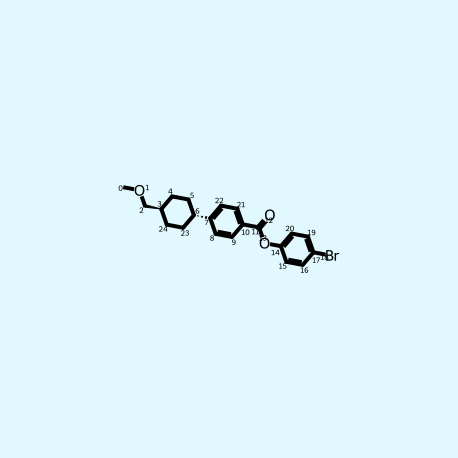 COC[C@H]1CC[C@H](c2ccc(C(=O)Oc3ccc(Br)cc3)cc2)CC1